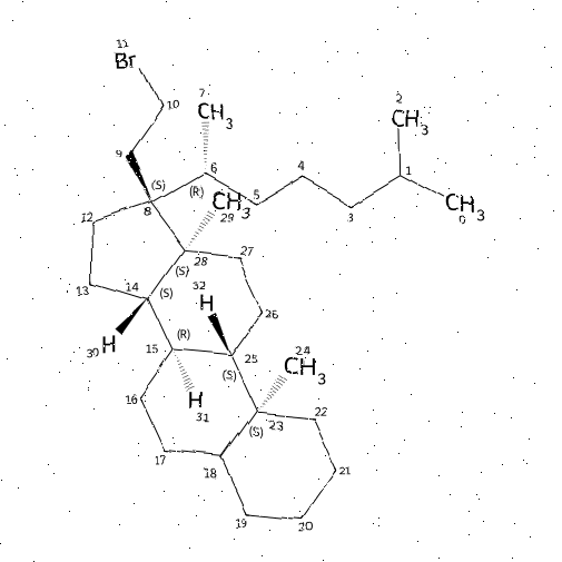 CC(C)CCC[C@@H](C)[C@@]1(CCBr)CC[C@H]2[C@@H]3CCC4CCCC[C@]4(C)[C@H]3CC[C@@]21C